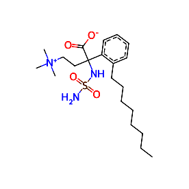 CCCCCCCCc1ccccc1C(CC[N+](C)(C)C)(NS(N)(=O)=O)C(=O)[O-]